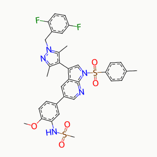 COc1ccc(-c2cnc3c(c2)c(-c2c(C)nn(Cc4cc(F)ccc4F)c2C)cn3S(=O)(=O)c2ccc(C)cc2)cc1NS(C)(=O)=O